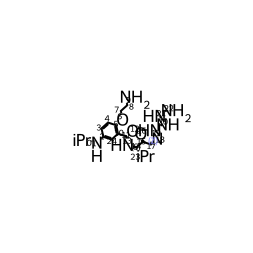 CC(C)Nc1ccc(OCCN)c(C(=O)N[C@H](C(=O)/C=N\NNNN)C(C)C)c1